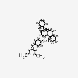 C=CCN(CC=C)Cc1ccc(CN(Cc2nc3ccccc3[nH]2)C2CCCc3cccnc32)cc1